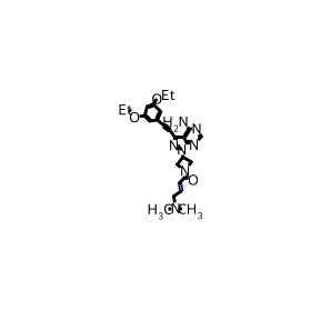 CCOc1cc(C#Cc2nn(C3CN(C(=O)/C=C/CN(C)C)C3)c3ncnc(N)c23)cc(OCC)c1